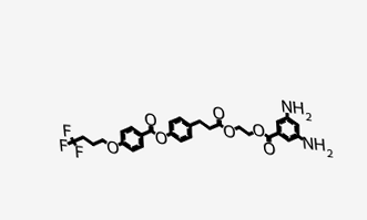 Nc1cc(N)cc(C(=O)OCCOC(=O)CCc2ccc(OC(=O)c3ccc(OCCCC(F)(F)F)cc3)cc2)c1